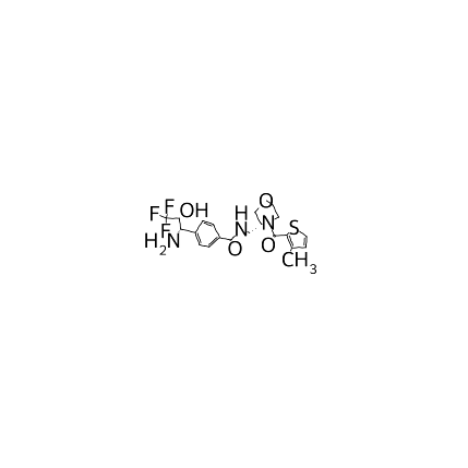 Cc1ccsc1C(=O)N1CCOC[C@H]1CNC(=O)c1ccc([C@H](N)C(O)C(F)(F)F)cc1